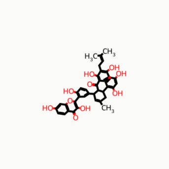 CC(C)=CCc1c(O)ccc(C(=O)C2C(c3ccc(O)c(-c4oc5cc(O)ccc5c(=O)c4O)c3)C=C(C)CC2c2ccc(O)cc2O)c1O